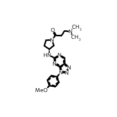 COc1ccc(-n2nnc3cnc(N[C@H]4CCN(C(=O)CCN(C)C)C4)nc32)cc1